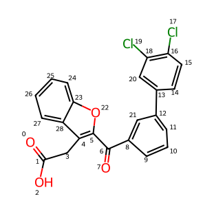 O=C(O)Cc1c(C(=O)c2cccc(-c3ccc(Cl)c(Cl)c3)c2)oc2ccccc12